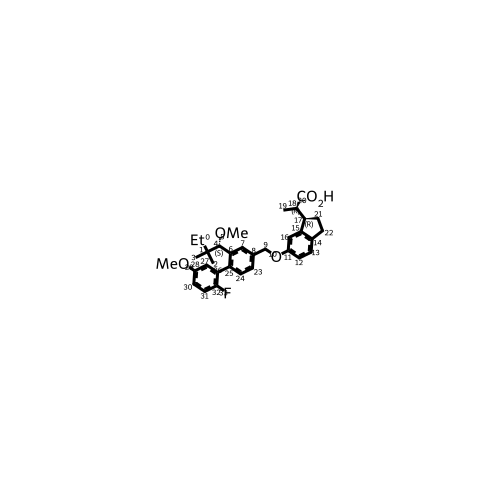 CCC(C)(C)[C@H](OC)c1cc(COc2ccc3c(c2)[C@@H]([C@@H](C)C(=O)O)CC3)ccc1-c1cc(OC)ccc1F